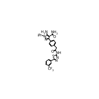 CC(C)n1nc(-c2ccc(CC(=O)Nc3nnc(-c4cccc(C(F)(F)F)c4)s3)cc2)c(C(N)=O)c1N